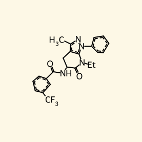 CCN1C(=O)[C@@H](NC(=O)c2cccc(C(F)(F)F)c2)Cc2c(C)nn(-c3ccccc3)c21